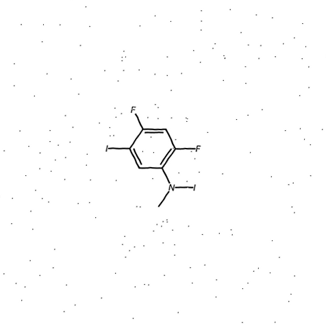 CN(I)c1cc(I)c(F)cc1F